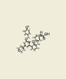 COc1ccc(COc2cc(N3CCOCC3)cc(-c3cccc4c3Oc3ccc(NC(=O)O)cc3C4)n2)cc1